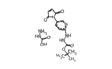 CC(C)(C)OC(=O)NNc1ccc(N2C(=O)C=CC2=O)cn1.NNC(=O)O